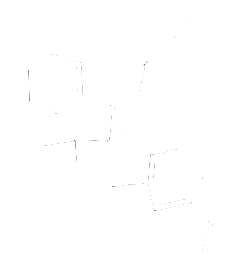 CCOC(=O)CN1c2ccccc2C(C)(C)C12C=Cc1cc(NO)cc(OC)c1O2